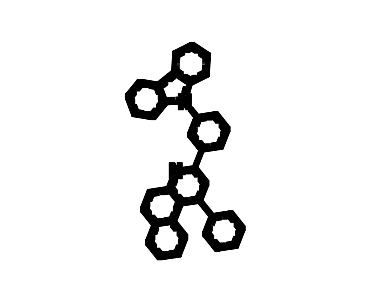 c1ccc(-c2cc(-c3cccc(-n4c5ccccc5c5ccccc54)c3)nc3ccc4ccccc4c23)cc1